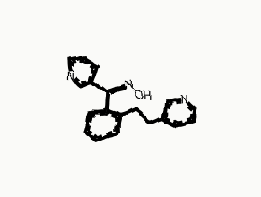 ON=C(c1cccnc1)c1ccccc1CCc1cccnc1